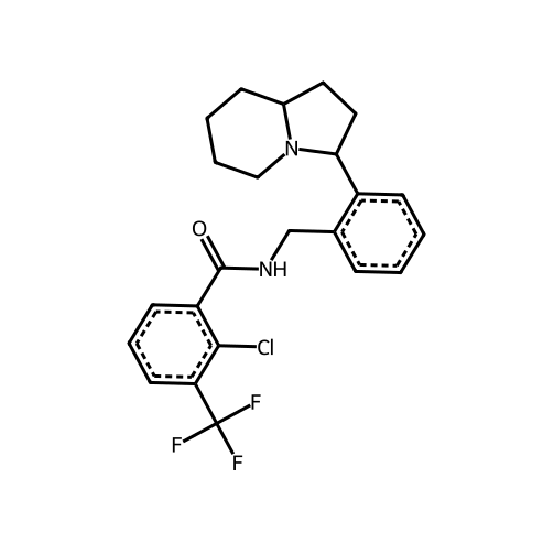 O=C(NCc1ccccc1C1CCC2CCCCN21)c1cccc(C(F)(F)F)c1Cl